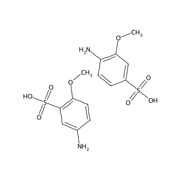 COc1cc(S(=O)(=O)O)ccc1N.COc1ccc(N)cc1S(=O)(=O)O